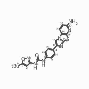 CC(C)(C)c1cc(NC(=O)Nc2ccc(-c3cn4c(n3)sc3nc(N)ccc34)cc2)no1